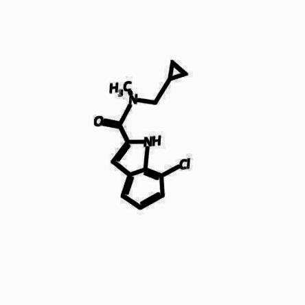 CN(CC1CC1)C(=O)c1cc2cccc(Cl)c2[nH]1